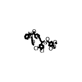 CCOCCn1c(C(=O)C2CCN(CCC(CN(C)C(=O)c3cc(OC)c(OC)c(OC)c3)c3ccc(Cl)c(Cl)c3)CC2)nc2ccccc21